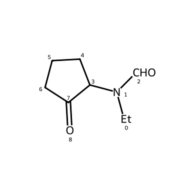 CCN(C=O)C1CCCC1=O